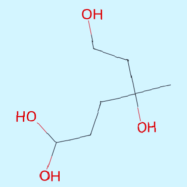 CC(O)(CCO)CCC(O)O